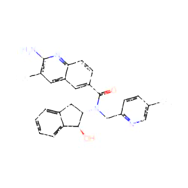 Cc1cc2cc(C(=O)N(Cc3ccc(C(F)(F)F)cn3)[C@H]3Cc4ccccc4[C@@H]3O)ccc2nc1N